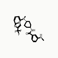 CNc1cccc(C(=O)N[C@H]2CC[C@@H](N(C)c3cccc4nc(C(F)(F)F)cn34)CC2)c1